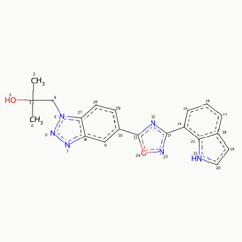 CC(C)(O)Cn1nnc2cc(-c3nc(-c4cccc5cc[nH]c45)no3)ccc21